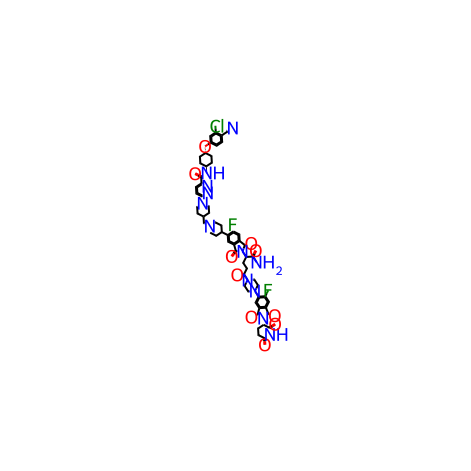 N#Cc1ccc(O[C@H]2CC[C@H](NC(=O)c3ccc(N4CCC(CN5CCC(c6cc7c(cc6F)C(=O)N(C(CCC(=O)N6CCN(c8cc9c(cc8F)C(=O)N(C8CCC(=O)NC8=O)C9=O)CC6)C(N)=O)C7=O)CC5)CC4)nn3)CC2)cc1Cl